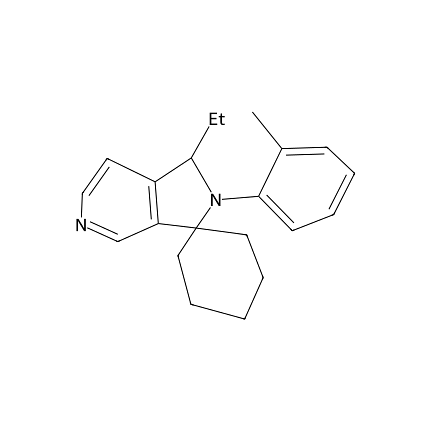 CCC1c2ccncc2C2(CCCCC2)N1c1ccccc1C